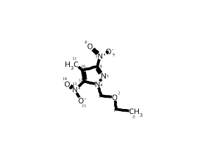 CCOCn1nc([N+](=O)[O-])c(C)c1[N+](=O)[O-]